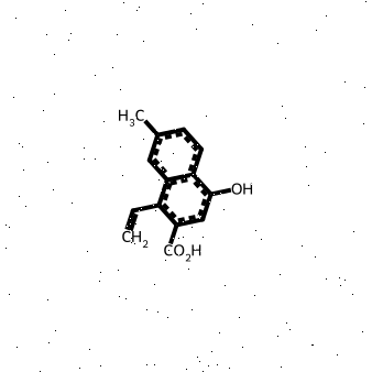 C=Cc1c(C(=O)O)cc(O)c2ccc(C)cc12